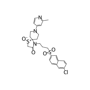 Cc1cc(N2CCC3(CC2)N(CCCS(=O)(=O)c2ccc4cc(Cl)ccc4c2)C(=O)C[S+]3[O-])ccn1